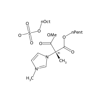 CCCCCCCCOS(=O)(=O)[O-].CCCCCOC(=O)[C@@](C)(C(=O)OC)n1cc[n+](C)c1